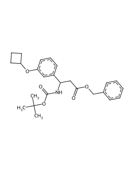 CC(C)(C)OC(=O)NC(CC(=O)OCc1ccccc1)c1cccc(OC2CCC2)c1